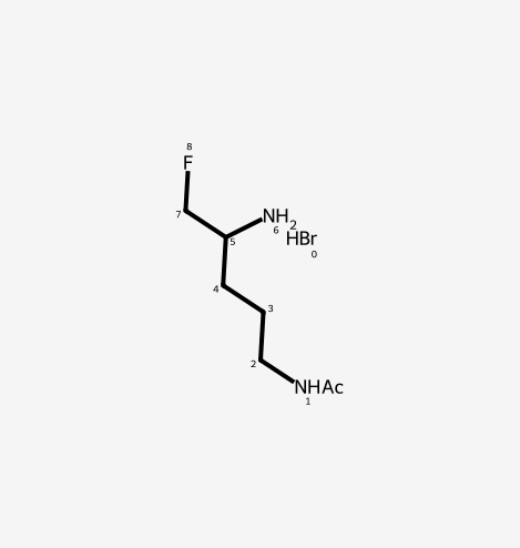 Br.CC(=O)NCCCC(N)CF